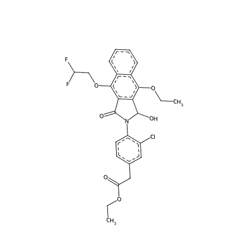 CCOC(=O)Cc1ccc(N2C(=O)c3c(c(OCC)c4ccccc4c3OCC(F)F)C2O)c(Cl)c1